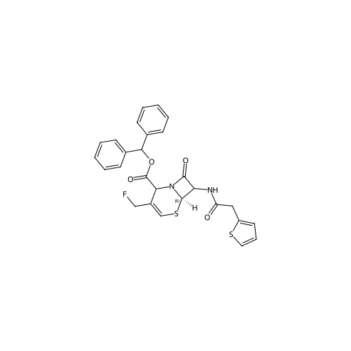 O=C(Cc1cccs1)NC1C(=O)N2C(C(=O)OC(c3ccccc3)c3ccccc3)C(CF)=CS[C@H]12